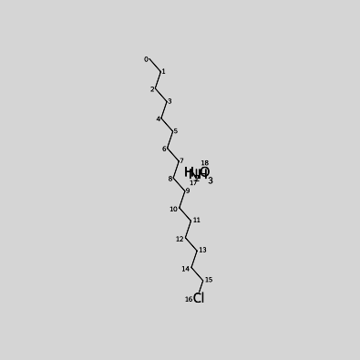 CCCCCCCCCCCCCCCCCl.N.O